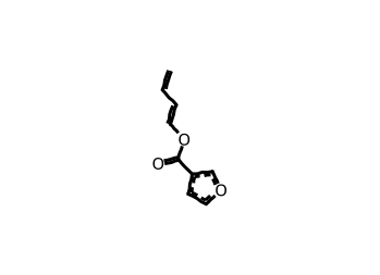 C=CC=COC(=O)c1ccoc1